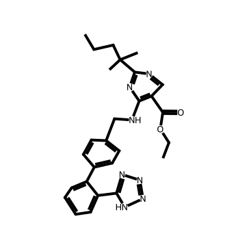 CCCC(C)(C)c1ncc(C(=O)OCC)c(NCc2ccc(-c3ccccc3-c3nnn[nH]3)cc2)n1